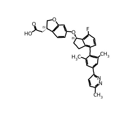 Cc1ccc(-c2cc(C)c(-c3ccc(F)c4c3CC[C@H]4Oc3ccc4c(c3)OC[C@H]4CC(=O)O)c(C)c2)nn1